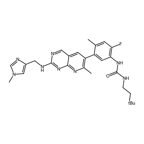 Cc1cc(F)c(NC(=O)NCCC(C)(C)C)cc1-c1cc2cnc(NCc3cn(C)cn3)nc2nc1C